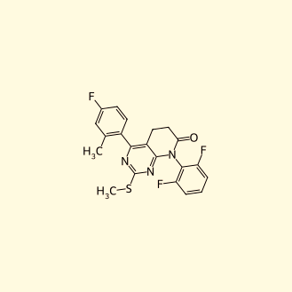 CSc1nc(-c2ccc(F)cc2C)c2c(n1)N(c1c(F)cccc1F)C(=O)CC2